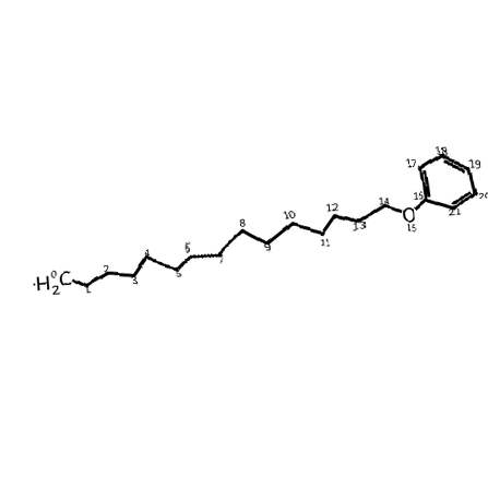 [CH2]CCCCCCCCCCCCCCOc1ccccc1